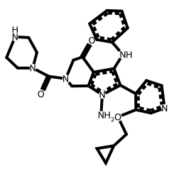 Nn1c2c(c(Nc3ccccc3)c1-c1ccncc1OCC1CC1)C(=O)CN(C(=O)N1CCNCC1)C2